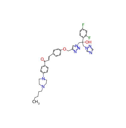 CCCCCN1CCN(c2ccc(C(=O)/C=C/c3ccc(OCc4cn(CC(O)(Cn5cncn5)c5ccc(F)cc5F)nn4)cc3)cc2)CC1